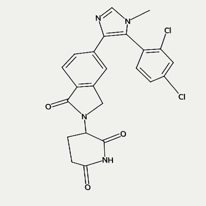 Cn1cnc(-c2ccc3c(c2)CN(C2CCC(=O)NC2=O)C3=O)c1-c1ccc(Cl)cc1Cl